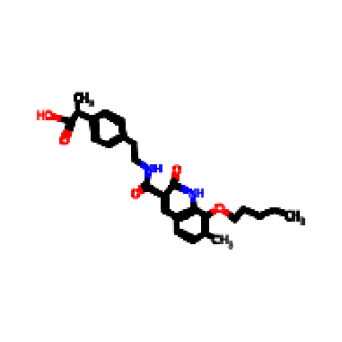 CCCCCOc1c(C)ccc2cc(C(=O)NCCc3ccc(C(C)C(=O)O)cc3)c(=O)[nH]c12